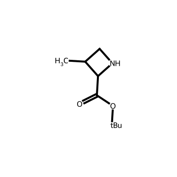 CC1CNC1C(=O)OC(C)(C)C